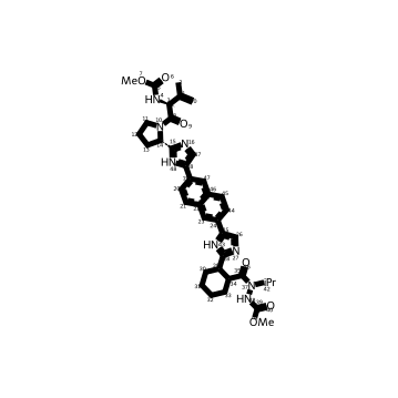 C=C(C)[C@H](NC(=O)OC)C(=O)N1CCC[C@H]1c1ncc(-c2ccc3cc(-c4cnc(C5CCCCC5C(=O)N(NC(=O)OC)C(C)C)[nH]4)ccc3c2)[nH]1